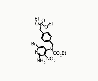 CCOC(=O)N(Cc1ccc(CP(=O)(OCC)OCC)cc1)c1cc(Br)nc(N)c1[N+](=O)[O-]